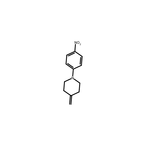 C=C1CCN(c2ccc([N+](=O)[O-])cc2)CC1